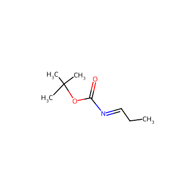 CCC=NC(=O)OC(C)(C)C